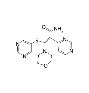 NC(=O)C(=C(Sc1cncnc1)N1CCOCC1)c1ccncn1